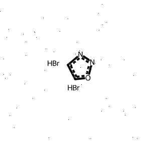 Br.Br.c1conn1